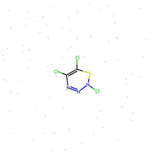 ClC1=C(Cl)SN(Cl)N=N1